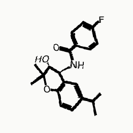 CC(C)c1ccc2c(c1)[C@H](NC(=O)c1ccc(F)cc1)[C@@H](O)C(C)(C)O2